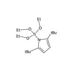 CC[O][Ti]([O]CC)([O]CC)[n]1c(C(C)(C)C)ccc1C(C)(C)C